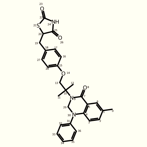 Cc1ccc2c(c1)C(=O)N(C(C)(C)COc1ccc(CC3SC(=O)NC3=O)cc1)CN2c1ccccc1